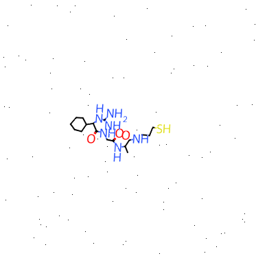 CC(NC(=O)CNC(=O)C(NC(=N)N)C1CCCCC1)C(=O)NCCCS